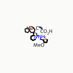 COc1ccsc1CNCC[C@@]1(c2ccccn2)CCOC2(CCCC2)C1.O=C(O)/C=C\C(=O)O